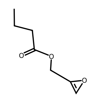 CCCC(=O)OCC1=CO1